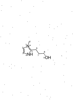 C[n+]1cc[nH]c1CCCO